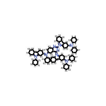 c1ccc(N(c2ccccc2)c2ccc3c(c2)c2ccccc2n3-c2nc(-n3c4ccccc4c4cc(N(c5ccccc5)c5ccccc5)ccc43)c3cc(N(c4ccccc4)c4ccc5c6ccccc6n(-c6ccccc6)c5c4)ccc3n2)cc1